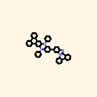 c1ccc(N2c3ccc(-c4ccc5nc6c7ccccc7c7ccccc7n6c5c4)cc3N(c3ccccc3)c3cc4c5ccccc5c5ccccc5c4cc32)cc1